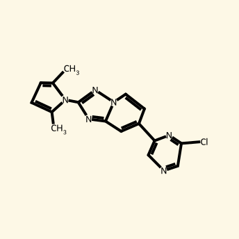 Cc1ccc(C)n1-c1nc2cc(-c3cncc(Cl)n3)ccn2n1